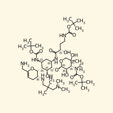 CN(C)CC(C)(C)CN[C@@H]1CC=C(CN)OC1[C@H]1[C@H](O)[C@@H](O[C@H]2OC[C@](C)(O)[C@H](N(C)C(=O)OC(C)(C)C)[C@H]2O)[C@H](NC(=O)[C@@H](O)CCNC(=O)OC(C)(C)C)C[C@@H]1NC(=O)OC(C)(C)C